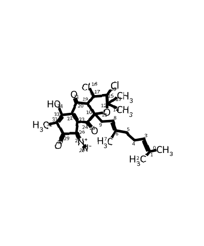 CC(C)=CCC/C(C)=C/CC12OC(C)(C)C(Cl)C(Cl)C1C(=O)C1=C(C2=O)C(=[N+]=[N-])C(=O)C(C)=C1O